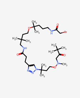 CN(CC(=O)C(C)(C)C)OCCC(C)(C)n1cc(CCC(=O)NCC(C)(C)CCOC(C)(C)CCCNC(=O)CBr)nn1